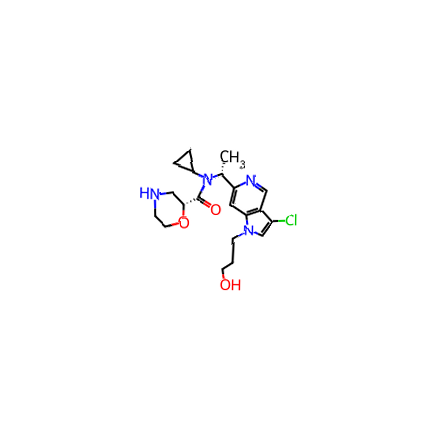 C[C@H](c1cc2c(cn1)c(Cl)cn2CCCO)N(C(=O)[C@H]1CNCCO1)C1CC1